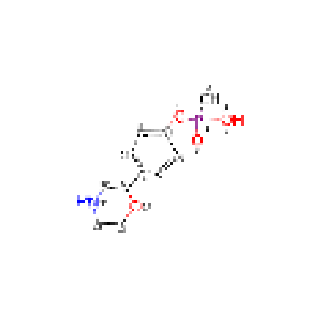 CP(=O)(O)Oc1ccc(C2CNCCO2)cc1